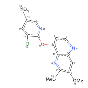 COc1cc2nccc(Oc3ncc([N+](=O)[O-])cc3Cl)c2nc1OC